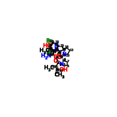 C[C@H](C(=O)N1CCC[C@H]1C(=O)N1CCC[C@@]1(Cc1cc(Br)cc(Br)c1)C(=O)N[C@H](C(N)=O)[C@@H](C)O)[C@@H](C)O